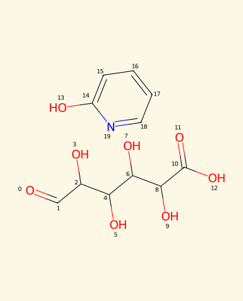 O=CC(O)C(O)C(O)C(O)C(=O)O.Oc1ccccn1